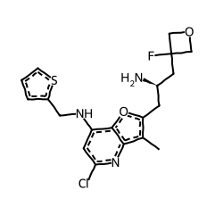 Cc1c(C[C@@H](N)CC2(F)COC2)oc2c(NCc3cccs3)cc(Cl)nc12